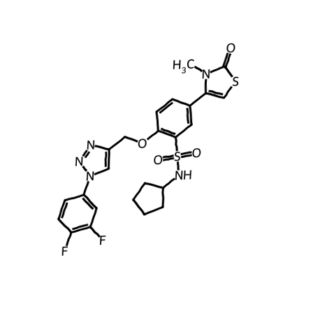 Cn1c(-c2ccc(OCc3cn(-c4ccc(F)c(F)c4)nn3)c(S(=O)(=O)NC3CCCC3)c2)csc1=O